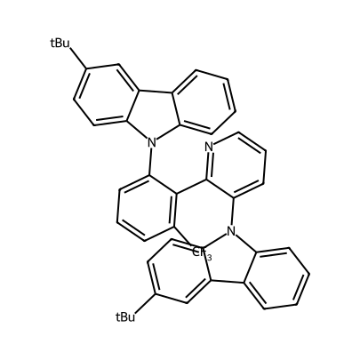 CC(C)(C)c1ccc2c(c1)c1ccccc1n2-c1cccnc1-c1c(-n2c3ccccc3c3cc(C(C)(C)C)ccc32)cccc1C(F)(F)F